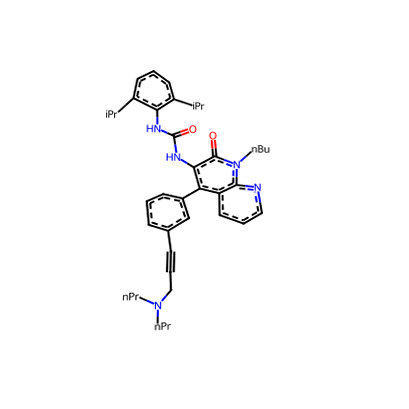 CCCCn1c(=O)c(NC(=O)Nc2c(C(C)C)cccc2C(C)C)c(-c2cccc(C#CCN(CCC)CCC)c2)c2cccnc21